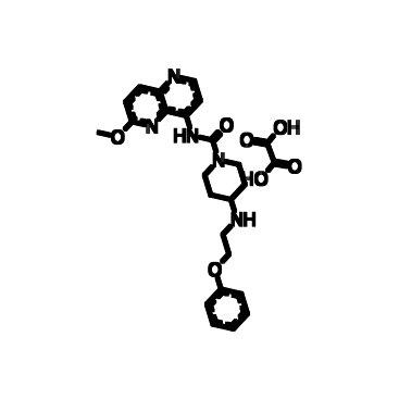 COc1ccc2nccc(NC(=O)N3CCC(NCCOc4ccccc4)CC3)c2n1.O=C(O)C(=O)O